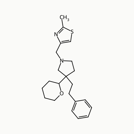 Cc1nc(CN2CCC(CCc3ccccc3)(C3CCCCO3)C2)cs1